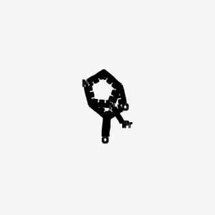 CC(C)n1c2cnc1c(=O)o2